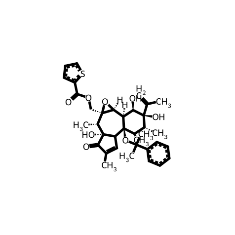 C=C(C)[C@]1(O)[C@H](C)[C@@H](C)[C@]2(OC(C)(C)c3ccccc3)C3C=C(C)C(=O)[C@@]3(O)[C@H](C)[C@@]3(COC(=O)c4cccs4)O[C@H]3[C@H]2[C@H]1O